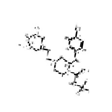 C[C@@H]1CN(CCN2CCN(C(=O)OC(C)(C)C)[C@H](Cc3ccc(Cl)cc3)C2)C[C@H](C)O1